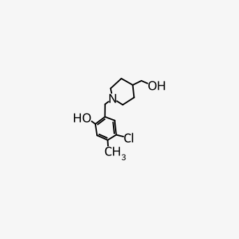 Cc1cc(O)c(CN2CCC(CO)CC2)cc1Cl